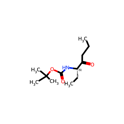 CCCC(=O)[C@H](CC)NC(=O)OC(C)(C)C